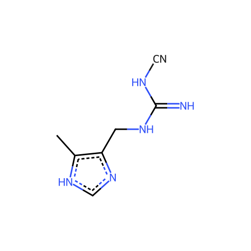 Cc1[nH]cnc1CNC(=N)NC#N